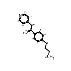 CCCCc1ccc(C(=O)Cc2ccncc2)cc1